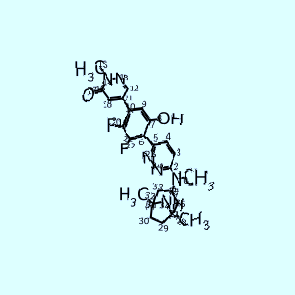 CN(c1ccc(-c2c(O)cc(-c3cnn(C)c(=O)c3)c(F)c2F)nn1)[C@H]1C[C@]2(C)CC[C@](C)(C1)N2